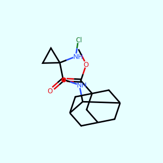 COC(=O)C12CC3CC(C1)C(NC(=O)C1(NCl)CC1)C(C3)C2